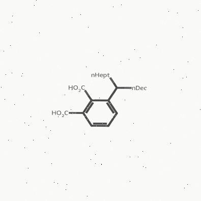 CCCCCCCCCCC(CCCCCCC)c1cccc(C(=O)O)c1C(=O)O